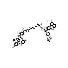 COc1cc(C(=O)NCCOCCOCCN(C)C(=O)CCNc2nc(N3CCN(C(=O)OC(C)(C)C)CC3)c3cc(Cl)c(-c4cc(O)cc5ccccc45)c(F)c3n2)ccc1NC(=O)[C@@H]1N[C@@H](CC(C)(C)C)[C@](C#N)(c2ccc(Cl)cc2F)[C@H]1c1cccc(Cl)c1F